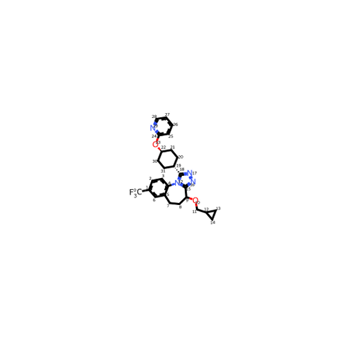 FC(F)(F)c1ccc2c(c1)CCC(OCC1CC1)c1nnc([C@H]3CC[C@H](Oc4ccccn4)CC3)n1-2